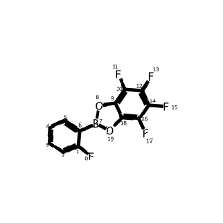 Fc1ccccc1B1Oc2c(F)c(F)c(F)c(F)c2O1